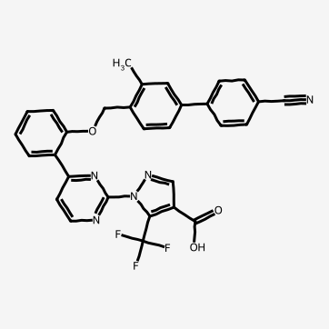 Cc1cc(-c2ccc(C#N)cc2)ccc1COc1ccccc1-c1ccnc(-n2ncc(C(=O)O)c2C(F)(F)F)n1